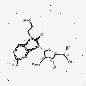 CC[C@H](OC(C)=O)[C@H]1O[C@@H](n2c(=O)n(CCSC)c3cnc(N)nc32)[C@H](OC(C)=O)[C@H]1F